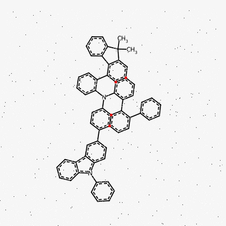 CC1(C)c2ccccc2-c2c(-c3ccccc3N(c3ccc(-c4ccc5c(c4)c4ccccc4n5-c4ccccc4)cc3)c3ccccc3-c3ccccc3-c3ccccc3)cccc21